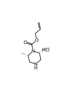 C=CCOC(=O)N1[C@H](C)CNC[C@@H]1C.Cl